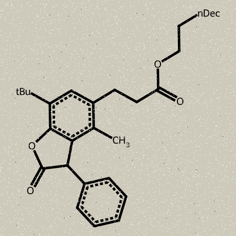 CCCCCCCCCCCCOC(=O)CCc1cc(C(C)(C)C)c2c(c1C)C(c1ccccc1)C(=O)O2